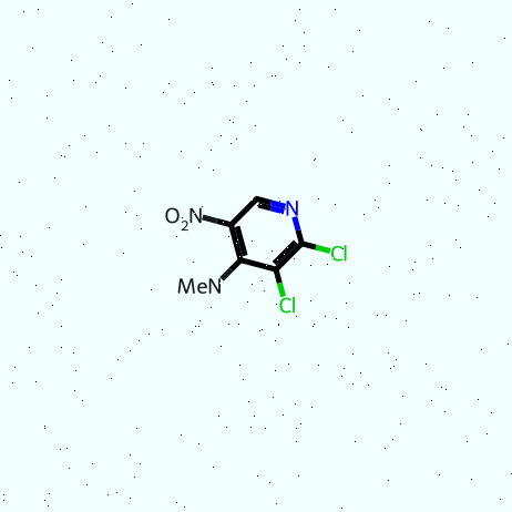 CNc1c([N+](=O)[O-])cnc(Cl)c1Cl